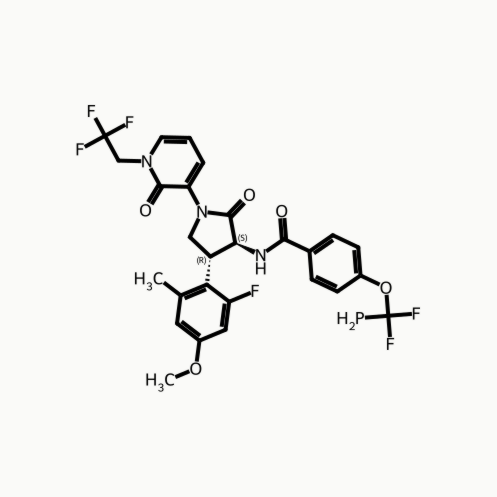 COc1cc(C)c([C@@H]2CN(c3cccn(CC(F)(F)F)c3=O)C(=O)[C@H]2NC(=O)c2ccc(OC(F)(F)P)cc2)c(F)c1